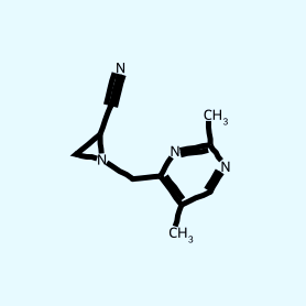 Cc1ncc(C)c(CN2CC2C#N)n1